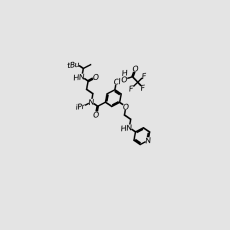 CC(C)N(CCC(=O)NC(C)C(C)(C)C)C(=O)c1cc(Cl)cc(OCCNc2ccncc2)c1.O=C(O)C(F)(F)F